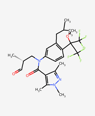 COC(c1ccc(N(C[C@@H](C)C=O)C(=O)c2c(C)nn(C)c2C)cc1CC(C)C)(C(F)(F)F)C(F)(F)F